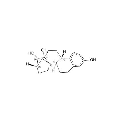 C[C@]12CC[C@@H]3c4ccc(O)cc4CC[C@H]3[C@]13CC[C@@H](C3)[C@@H]2O